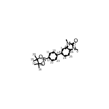 Cn1c(=O)n(C)c2cc(-c3ccc(B4OC(C)(C)C(C)(C)O4)cc3)ccc21